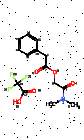 CN(C)C(=O)COC(=O)Cc1ccccc1.O=C(O)C(F)(F)F